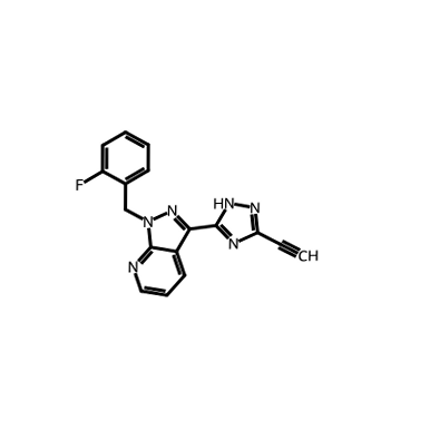 C#Cc1n[nH]c(-c2nn(Cc3ccccc3F)c3ncccc23)n1